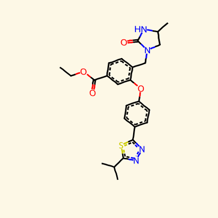 CCOC(=O)c1ccc(CN2CC(C)NC2=O)c(Oc2ccc(-c3nnc(C(C)C)s3)cc2)c1